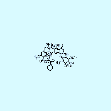 COC(=O)c1c(C)cc2c(c1OCC(=O)N1CCCCC1)[C@]1(O)C(=O)c3cc4c(c(O)c3C(=O)[C@]1(OC)[C@H](O)C2)C(=O)C=C(N[C@H]1O[C@@H](C)[C@H](OC)[C@@H](O)[C@H]1OC)C4=O